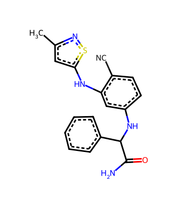 Cc1cc(Nc2cc(NC(C(N)=O)c3ccccc3)ccc2C#N)sn1